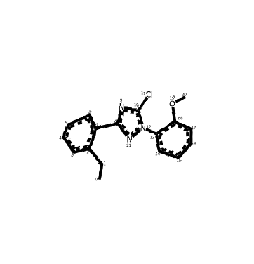 CCc1ccccc1-c1nc(Cl)n(-c2ccccc2OC)n1